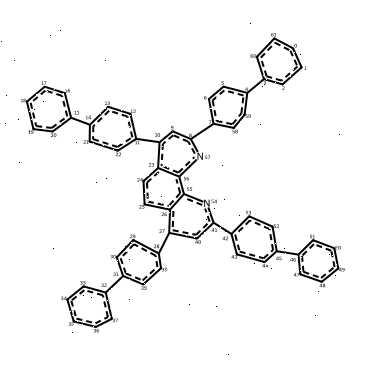 c1ccc(-c2ccc(-c3cc(-c4ccc(-c5ccccc5)cc4)c4ccc5c(-c6ccc(-c7ccccc7)cc6)cc(-c6ccc(-c7ccccc7)cc6)nc5c4n3)cc2)cc1